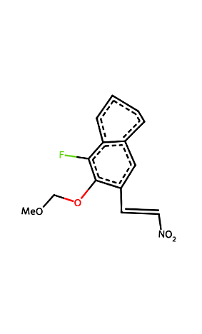 COCOc1c(/C=C/[N+](=O)[O-])cc2ccccc2c1F